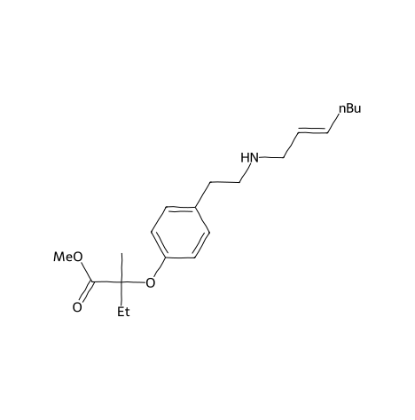 CCCCC=CCNCCc1ccc(OC(C)(CC)C(=O)OC)cc1